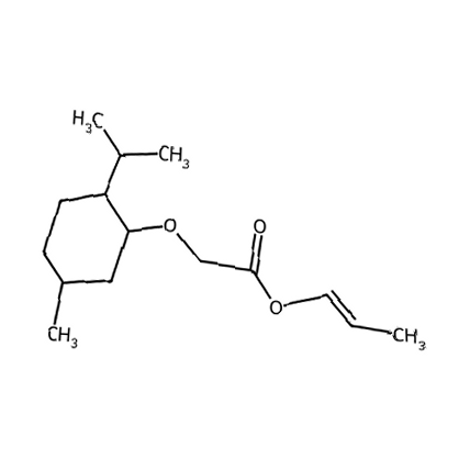 CC=COC(=O)COC1CC(C)CCC1C(C)C